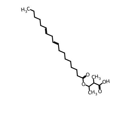 CCCCCC=CCC=CCCCCCCCC(=O)OC(C)C(C)C(=O)O